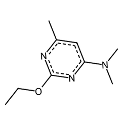 CCOc1nc(C)cc(N(C)C)n1